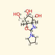 OC[C@@H]1[C@@H](O)[C@H](O)[C@H]2N=C(N3CCCC3)O[C@@H]12